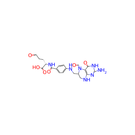 Nc1nc2c(c(=O)[nH]1)N(C=O)C(CNc1ccc(C(=O)N[C@@H](CCC=O)C(=O)O)cc1)CN2